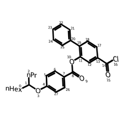 CCCCCCC(CCC)Oc1ccc(C(=O)Oc2cc(C(=O)Cl)ccc2-c2ccccc2)cc1